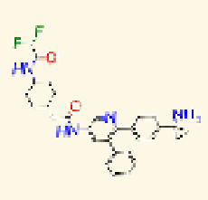 NC1(c2ccc(-c3ncc(NC(=O)C[C@H]4CC[C@H](NC(=O)C(F)F)CC4)cc3-c3ccccc3)cc2)CC1